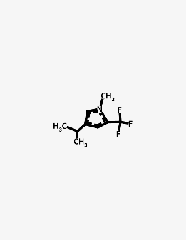 CC(C)c1cc(C(F)(F)F)n(C)c1